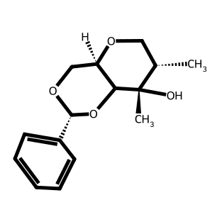 C[C@H]1CO[C@@H]2CO[C@@H](c3ccccc3)OC2[C@@]1(C)O